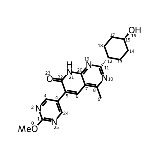 COc1ncc(-c2cc3c(C)nc([C@H]4CC[C@H](O)CC4)nc3[nH]c2=O)cn1